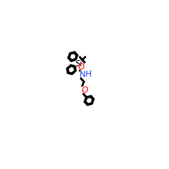 CC(C)(C)[Si](OCNCCCOCc1ccccc1)(c1ccccc1)c1ccccc1